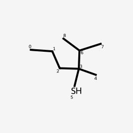 CCCC(C)(S)C(C)C